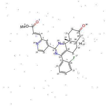 COC(=O)/C=C/c1cc(-c2nc(-c3ccccc3F)c3c(n2)[C@]2(C)CCC(=O)[C@H](C)[C@H]2CC3)ccn1